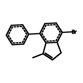 CC1=CCc2c(Br)ccc(-c3ccccc3)c21